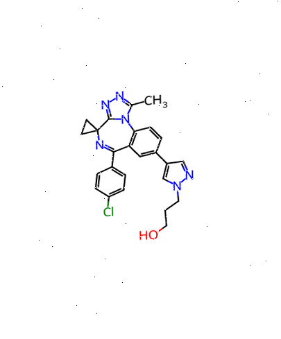 Cc1nnc2n1-c1ccc(-c3cnn(CCCO)c3)cc1C(c1ccc(Cl)cc1)=NC21CC1